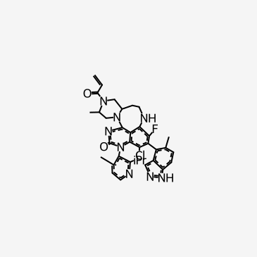 C=CC(=O)N1CC2CCNc3c(F)c(-c4c(C)ccc5[nH]ncc45)c(Cl)c4c3c(nc(=O)n4-c3c(C)ccnc3C(C)C)N2CC1C